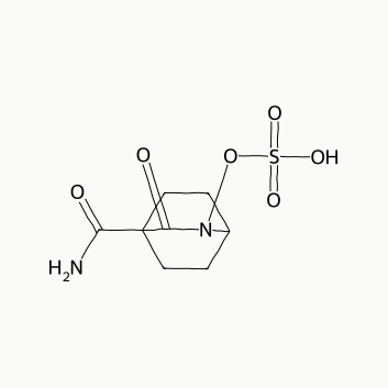 NC(=O)C12CCC(CC1)N(OS(=O)(=O)O)C2=O